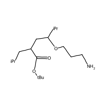 CC(C)CC(CC(OCCCN)C(C)C)C(=O)OC(C)(C)C